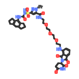 CC(C)n1nc(S(=O)(=O)NC(=O)Nc2c3c(cc4c2CCC4)CCC3)cc1C(=O)NCCOCCOCCOCCNc1cccc2c1C(=O)N(C1CCC(=O)NC1=O)C2=O